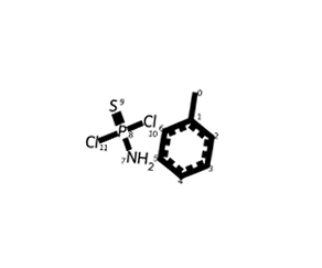 Cc1ccccc1.NP(=S)(Cl)Cl